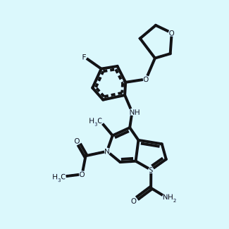 COC(=O)N1C=C2C(=CC=S2C(N)=O)C(Nc2ccc(F)cc2OC2CCOC2)=C1C